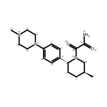 C[C@H]1CC[C@H](c2ccc(N3CCN(C)CC3)cc2)N(C(=O)C(N)=O)C1